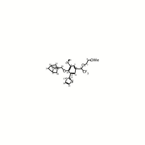 C=Nc1cc(C(OCCOC)C(F)(F)F)cc(-c2nccs2)c1OCN1CC2CC(C1)N2